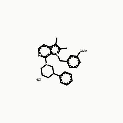 COc1cccc(Cn2c(C)c(C)c3ccnc(N4CCCC(c5ccccc5)C4)c32)c1.Cl